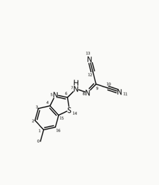 Cc1ccc2nc(NN=C(C#N)C#N)sc2c1